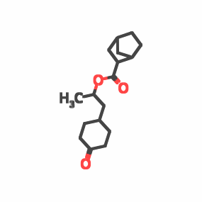 CC(CC1CCC(=O)CC1)OC(=O)C1CC2CCC1C2